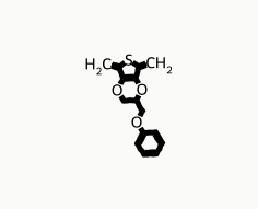 C=c1sc(=C)c2c1OCC(COc1ccccc1)O2